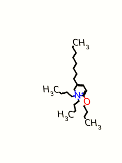 CCCCCCCCC1=CC=C(OCCCC)[N+](CCCC)(CCCC)C1